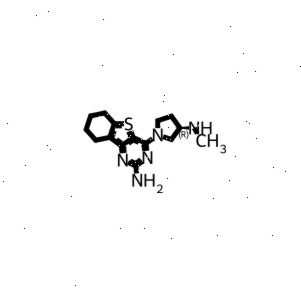 CN[C@@H]1CCN(c2nc(N)nc3c4c(sc23)CCCC4)C1